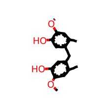 COc1cc(C)c(Cc2cc(O)c(OC)cc2C)cc1O